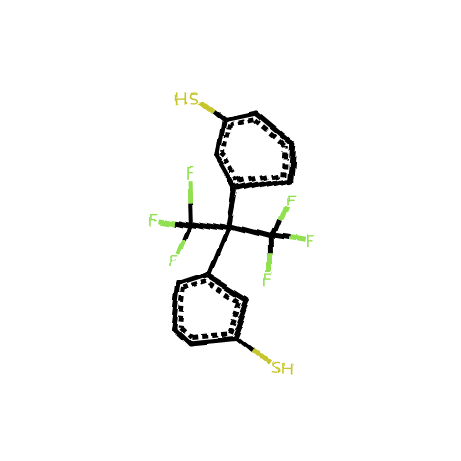 FC(F)(F)C(c1cccc(S)c1)(c1cccc(S)c1)C(F)(F)F